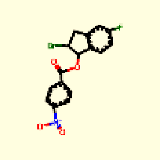 O=C(OC1c2ccc(F)cc2CC1Br)c1ccc([N+](=O)[O-])cc1